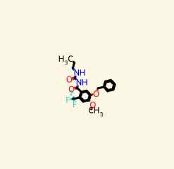 CCCNC(=O)NC(=O)c1cc(OCc2ccccc2)c(OC)cc1C(F)(F)F